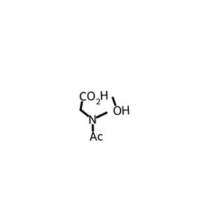 CC(=O)N(C)CC(=O)O.CO